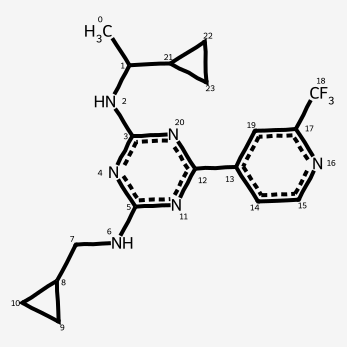 CC(Nc1nc(NCC2CC2)nc(-c2ccnc(C(F)(F)F)c2)n1)C1CC1